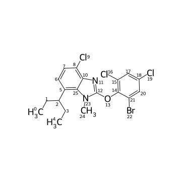 CCC(CC)c1ccc(Cl)c2nc(Oc3c(Cl)cc(Cl)cc3Br)n(C)c12